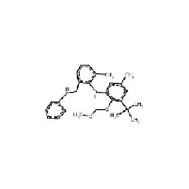 COCOc1c(Pc2c(C)cccc2CPc2ccccc2)cc(C)cc1C(C)(C)C